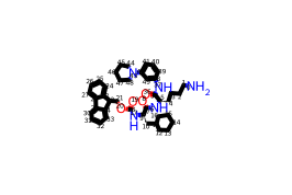 NCCCC[C@H](NC(=O)[C@H](CC1CCCCC1)NC(=O)OCC1c2ccccc2-c2ccccc21)C(=O)Nc1cccc(N2CCCCC2)c1